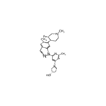 Cc1nc(N2CC[C@H](O)C2)cc(-n2ncc3cc(C)c([C@@H]4CCN(C)C[C@@H]4F)cc32)n1